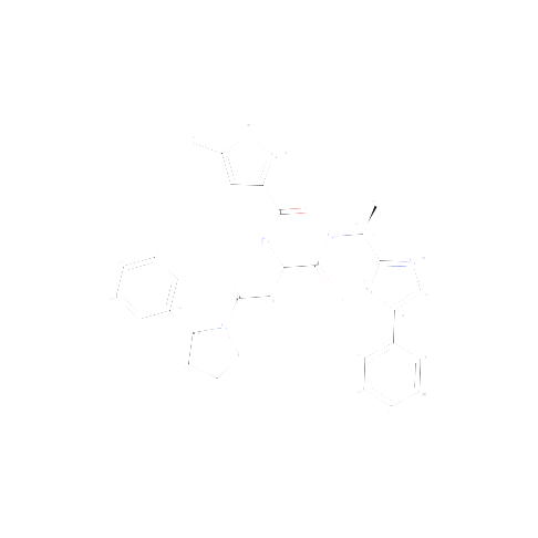 Cc1cc(C(=O)NC(CC(=O)N2CCCC2c2ccccc2)C(=O)N[C@@H](C)c2ncc(-c3ccccc3)[nH]2)no1